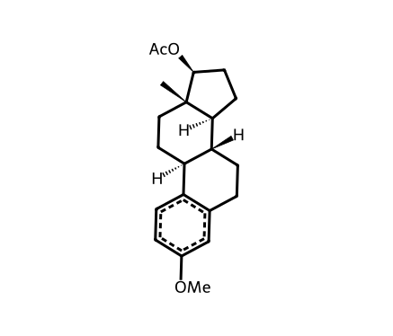 COc1ccc2c(c1)CC[C@@H]1[C@@H]2CC[C@]2(C)[C@@H](OC(C)=O)CC[C@@H]12